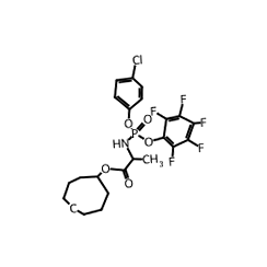 CC(NP(=O)(Oc1ccc(Cl)cc1)Oc1c(F)c(F)c(F)c(F)c1F)C(=O)OC1CCCCCCC1